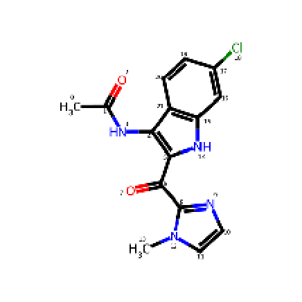 CC(=O)Nc1c(C(=O)c2nccn2C)[nH]c2cc(Cl)ccc12